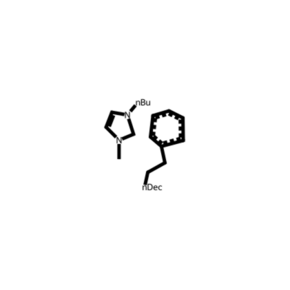 CCCCCCCCCCCCc1ccccc1.CCCCN1C=CN(C)C1